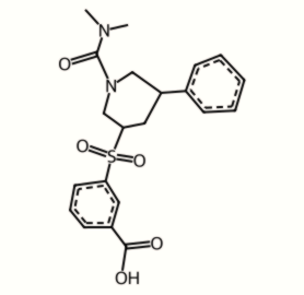 CN(C)C(=O)N1CC(c2ccccc2)CC(S(=O)(=O)c2cccc(C(=O)O)c2)C1